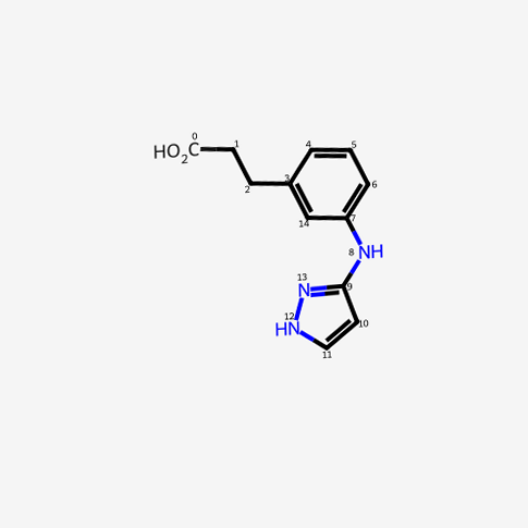 O=C(O)CCc1cccc(Nc2cc[nH]n2)c1